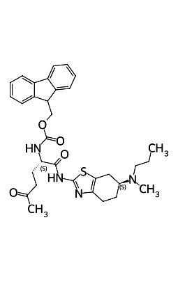 CCCN(C)[C@H]1CCc2nc(NC(=O)[C@H](CCC(C)=O)NC(=O)OCC3c4ccccc4-c4ccccc43)sc2C1